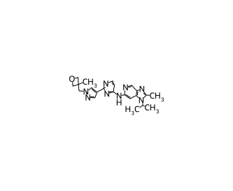 Cc1nc2cnc(Nc3ccnc(-c4cnn(CC5(C)COC5)c4)n3)cc2n1C(C)C